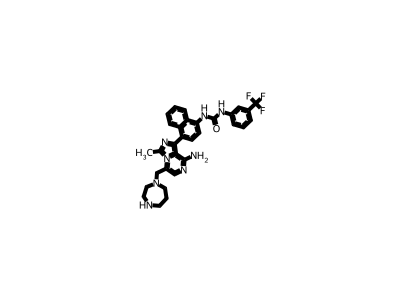 Cc1nc(-c2ccc(NC(=O)Nc3cccc(C(F)(F)F)c3)c3ccccc23)c2c(N)ncc(CN3CCCNCC3)n12